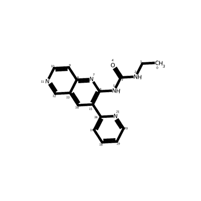 CCNC(=O)Nc1nc2ccncc2cc1-c1ccccn1